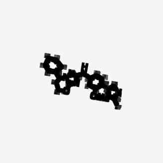 COc1cc(Nc2nc3n(n2)C(c2ccccc2)CCO3)ccc1-n1cnc(C)c1